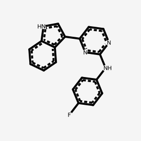 Fc1ccc(Nc2nccc(-c3c[nH]c4ccccc34)n2)cc1